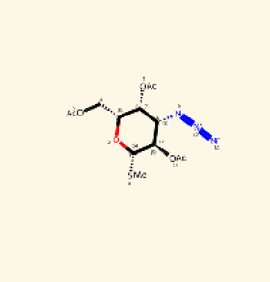 CS[C@@H]1O[C@H](COC(C)=O)[C@H](OC(C)=O)[C@H](N=[N+]=[N-])[C@H]1OC(C)=O